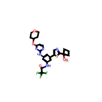 O=C(Nc1cc(Nc2nccc(OC3CCOCC3)n2)cc(-c2cnc(C3(O)CCC3)s2)c1)C(F)(F)F